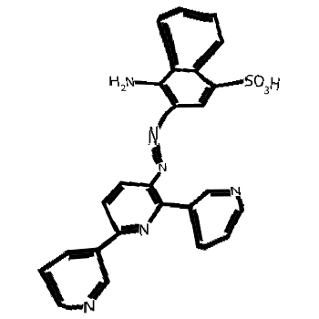 Nc1c(N=Nc2ccc(-c3cccnc3)nc2-c2cccnc2)cc(S(=O)(=O)O)c2ccccc12